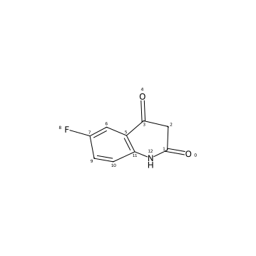 O=C1CC(=O)c2cc(F)ccc2N1